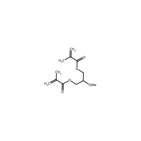 C=C(C)C(=O)OCC(COC(=O)C(=C)C)OC